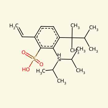 C=Cc1ccc(C(C)(C)C(C)C)c([SiH](C(C)C)C(C)C)c1S(=O)(=O)O